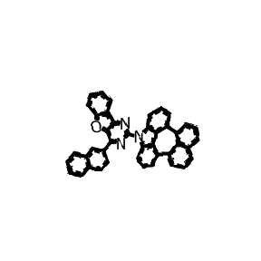 c1ccc2cc(-c3nc(-n4c5cccc6c5c5c(cccc54)-c4cccc5cccc-6c45)nc4c3oc3ccccc34)ccc2c1